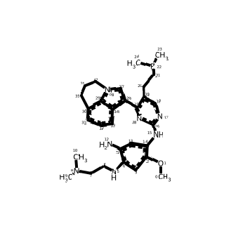 COc1cc(NCCN(C)C)c(N)cc1Nc1ncc(CCP(C)C)c(-c2cn3c4c(cccc24)CCC3)n1